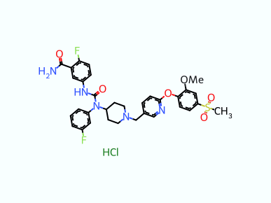 COc1cc(S(C)(=O)=O)ccc1Oc1ccc(CN2CCC(N(C(=O)Nc3ccc(F)c(C(N)=O)c3)c3cccc(F)c3)CC2)cn1.Cl